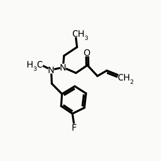 C=CCC(=O)CN(CCC)N(C)Cc1cccc(F)c1